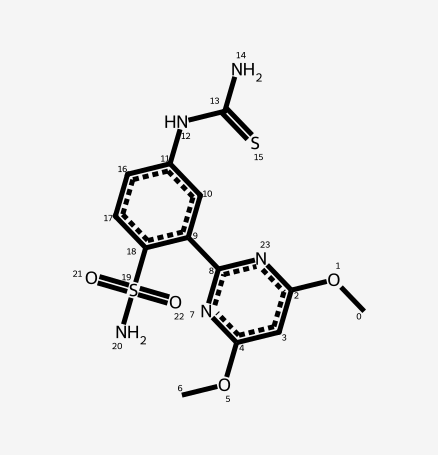 COc1cc(OC)nc(-c2cc(NC(N)=S)ccc2S(N)(=O)=O)n1